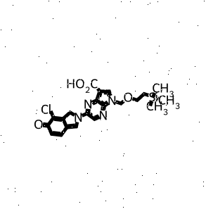 C[Si](C)(C)CCOCn1cc(C(=O)O)c2nc(N3C=C4C=CC(=O)C(Cl)=C4C3)cnc21